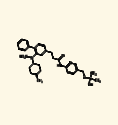 CN1CCC(N(C(=O)O)c2cc(CCC(=O)Nc3ccc(CO[Si](C)(C)C(C)(C)C)cn3)ccc2-c2ccccc2)CC1